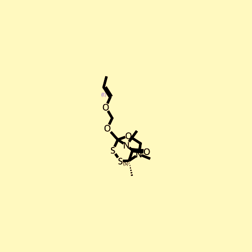 C/C=C/OCOC12OCN(C)[C@@](C)(SS1)C(=O)N2C